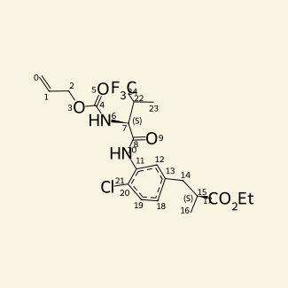 C=CCOC(=O)N[C@H](C(=O)Nc1cc(C[C@H](C)C(=O)OCC)ccc1Cl)C(C)C(F)(F)F